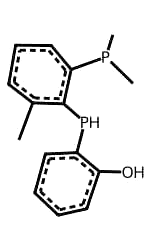 Cc1cccc(P(C)C)c1Pc1ccccc1O